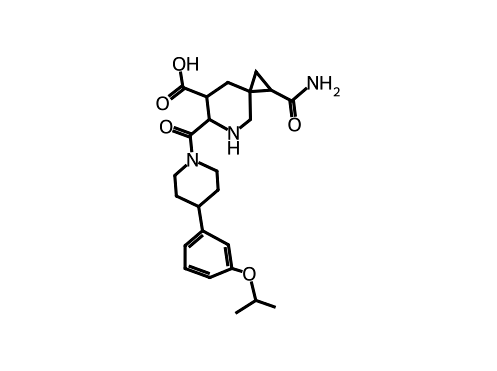 CC(C)Oc1cccc(C2CCN(C(=O)C3NCC4(CC3C(=O)O)CC4C(N)=O)CC2)c1